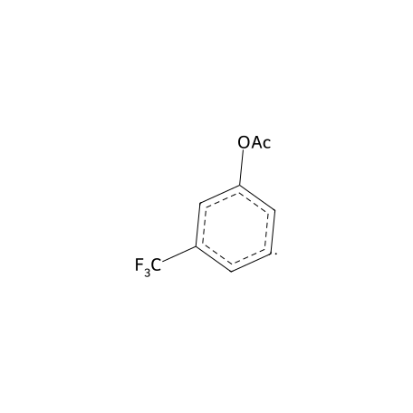 CC(=O)Oc1c[c]cc(C(F)(F)F)c1